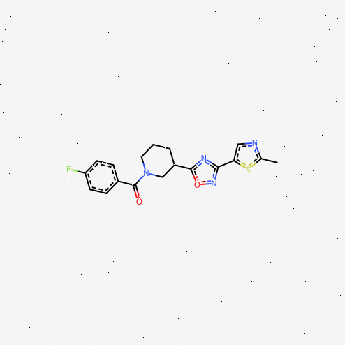 Cc1ncc(-c2noc(C3CCCN(C(=O)c4ccc(F)cc4)C3)n2)s1